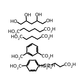 O=C(O)CCC(=O)O.O=C(O)CCCC(=O)O.O=C(O)CCCCC(=O)O.O=C(O)c1ccc(C(=O)O)cc1.O=C(O)c1cccc(C(=O)O)c1.OCC(O)CC(O)CO